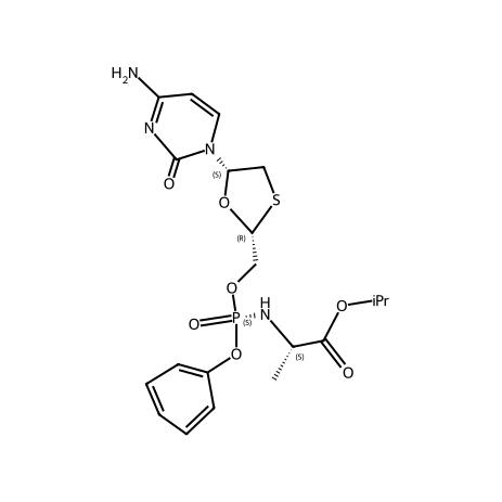 CC(C)OC(=O)[C@H](C)N[P@](=O)(OC[C@@H]1O[C@H](n2ccc(N)nc2=O)CS1)Oc1ccccc1